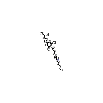 CCCCC/C=N/OCCCCOc1c(Cl)cc(OCC=C(Cl)Cl)cc1Cl